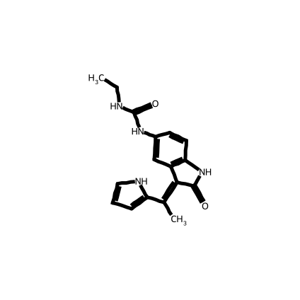 CCNC(=O)Nc1ccc2c(c1)C(=C(C)c1ccc[nH]1)C(=O)N2